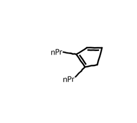 CCCC1=C(CCC)CC=C1